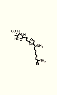 CCC(N)=NCCCCC(N)c1noc(CNC(=O)NC(C(=O)O)C(C)O)n1